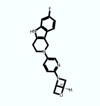 Fc1ccc2c3c([nH]c2c1)CCN(c1ccc(N2C[C@H]4OCC42)nc1)C3